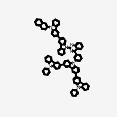 c1ccc(-n2c3ccccc3c3cc(-c4ccc5c(c4)c4cc(-c6ccc7c(c6)c6ccccc6n7-c6ccccc6)ccc4n5-c4cccc(-c5nc(-n6c7ccccc7c7cc(-c8ccc9c(c8)c8ccccc8n9-c8ccc9ccccc9c8)ccc76)nc6ccccc56)c4)ccc32)cc1